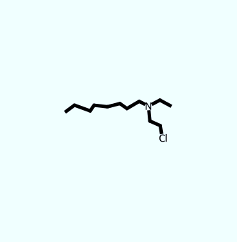 CCCCCCCCN(CC)CCCl